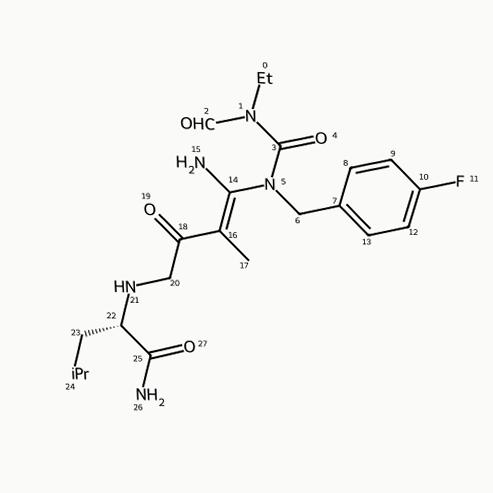 CCN(C=O)C(=O)N(Cc1ccc(F)cc1)/C(N)=C(\C)C(=O)CN[C@@H](CC(C)C)C(N)=O